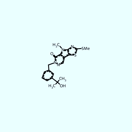 CSc1nc2c(s1)c1cnn(Cc3cccc(C(C)(C)O)c3)c(=O)c1n2C